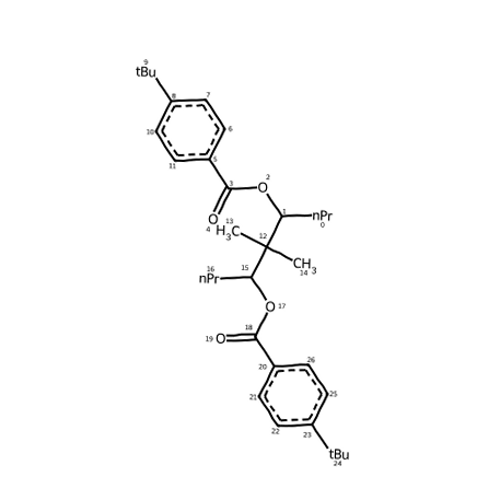 CCCC(OC(=O)c1ccc(C(C)(C)C)cc1)C(C)(C)C(CCC)OC(=O)c1ccc(C(C)(C)C)cc1